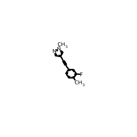 Cc1ccc(C#Cc2cnn(C)c2)cc1F